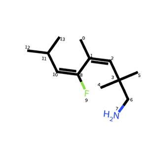 CC(=C/C(C)(C)CN)/C(F)=C\C(C)C